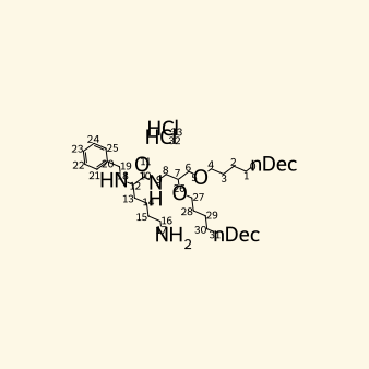 CCCCCCCCCCCCCCOCC(CNC(=O)C(CCCCN)NCc1ccccc1)OCCCCCCCCCCCCCC.Cl.Cl